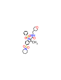 Cc1c(C(=O)NCCC2CCOCC2)n(S(=O)(=O)c2ccccc2)c2ccc(S(=O)(=O)N3CCCCCC3)cc12